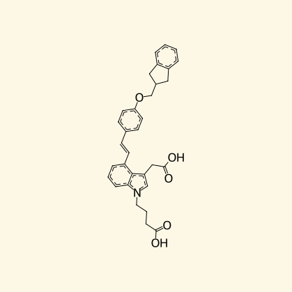 O=C(O)CCCn1cc(CC(=O)O)c2c(/C=C/c3ccc(OCC4Cc5ccccc5C4)cc3)cccc21